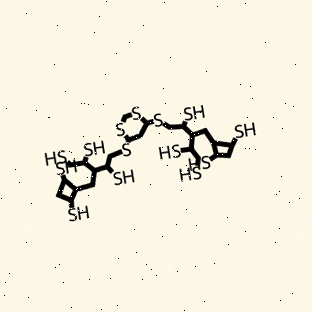 SCC(S)C(CC1C(S)CC1S)C(S)CSC1CC(SCC(S)C(CC2C(S)CC2S)C(S)CS)SCS1